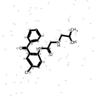 CC(O)CNCC(=O)Nc1ccc(Cl)cc1C(=O)c1ccccc1